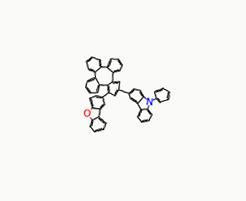 c1ccc(-n2c3ccccc3c3cc(-c4cc(-c5ccc6oc7ccccc7c6c5)c5c(c4)-c4ccccc4-c4ccccc4-c4ccccc4-5)ccc32)cc1